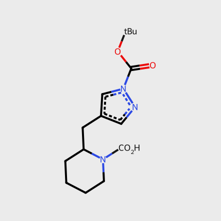 CC(C)(C)OC(=O)n1cc(CC2CCCCN2C(=O)O)cn1